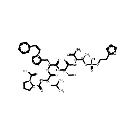 CC(=O)N1CCC[C@H]1C(=O)N[C@@H](CC(C)C)C(=O)N[C@@H](Cc1cncn1/C=C\c1ccccc1)C(=O)N[C@@H](CO)C(=O)N[C@H](C(N)=O)[C@@H](C)OP(=O)(O)OCCc1ccco1